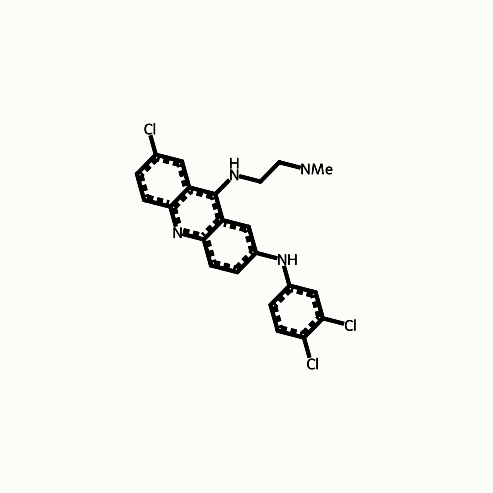 CNCCNc1c2cc(Cl)ccc2nc2ccc(Nc3ccc(Cl)c(Cl)c3)cc12